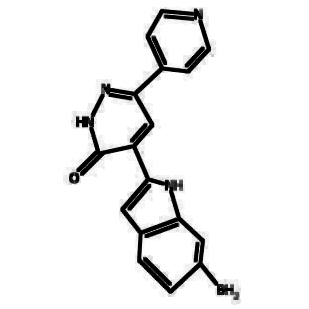 Bc1ccc2cc(-c3cc(-c4ccncc4)n[nH]c3=O)[nH]c2c1